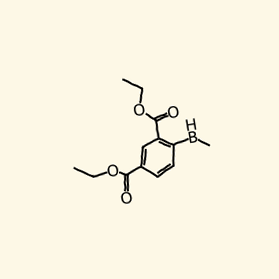 CBc1ccc(C(=O)OCC)cc1C(=O)OCC